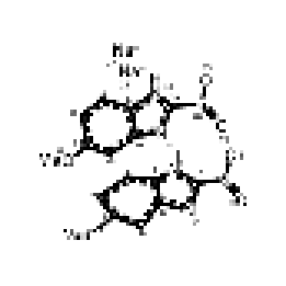 COc1ccc2[nH]c(S(=O)[O-])nc2c1.COc1ccc2[nH]c(S(=O)[O-])nc2c1.[Na+].[Na+]